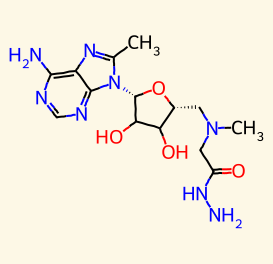 Cc1nc2c(N)ncnc2n1[C@@H]1O[C@H](CN(C)CC(=O)NN)C(O)C1O